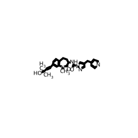 CN1C(=O)C(NC(=O)n2cc(Cc3ccncc3)cn2)CCc2ccc(C#CC(C)(C)O)cc21